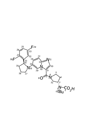 CC(C)(C)N(C(=O)O)[C@H]1CCN(C(=O)c2cnc3ccc(N4CCC[C@H]4c4cc(F)ccc4F)cn23)C1